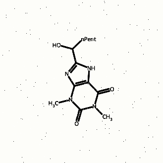 CCCCCC(O)c1nc2c([nH]1)c(=O)n(C)c(=O)n2C